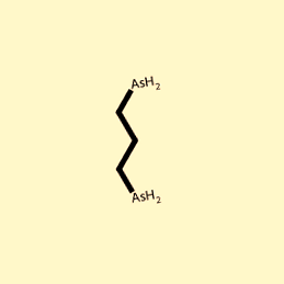 [AsH2]CCC[AsH2]